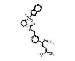 C=N/C(=C\N=C(/C)C(F)(F)F)c1ccnc(CNC(=O)[C@@H]2CCCN2S(=O)(=O)c2cc3ccccc3o2)c1